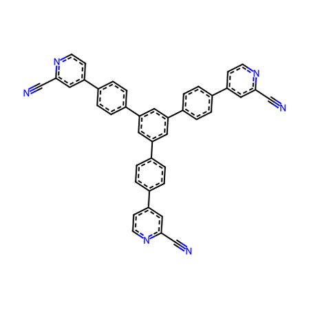 N#Cc1cc(-c2ccc(-c3cc(-c4ccc(-c5ccnc(C#N)c5)cc4)cc(-c4ccc(-c5ccnc(C#N)c5)cc4)c3)cc2)ccn1